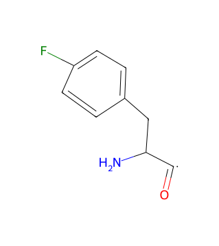 NC([C]=O)Cc1ccc(F)cc1